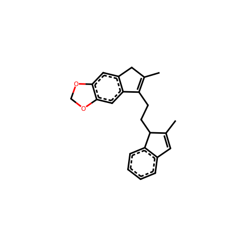 CC1=Cc2ccccc2C1CCC1=C(C)Cc2cc3c(cc21)OCO3